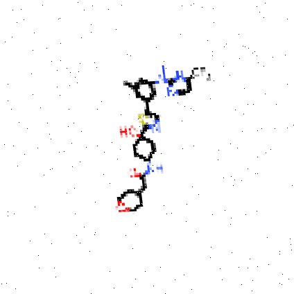 Cc1cc(Nc2nccc(C(F)(F)F)n2)cc(-c2cnc([C@]3(O)CC[C@@H](NC(=O)CC4CCOCC4)CC3)s2)c1